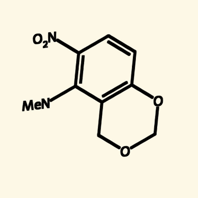 CNc1c([N+](=O)[O-])ccc2c1COCO2